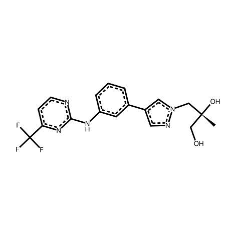 C[C@@](O)(CO)Cn1cc(-c2cccc(Nc3nccc(C(F)(F)F)n3)c2)cn1